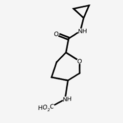 O=C(O)NC1CCC(C(=O)NC2CC2)OC1